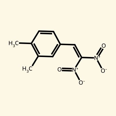 Cc1ccc(C=C([N+](=O)[O-])[N+](=O)[O-])cc1C